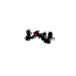 Cc1c(-c2ccc(N3CCc4cccc(C(=O)Nc5nc6ccccc6s5)c4C3)nc2C(=O)OC(C)(C)C)cnn1CC12C[C@@]3(C)C[C@@](C)(C1)C[C@@](OCCNC[C@@H]1OC(C)(C)O[C@H]1COC(=O)OC(C)(C)C)(C2)C3